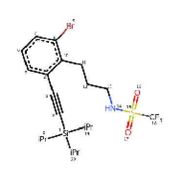 CC(C)[Si](C#Cc1cccc(Br)c1CCCNS(=O)(=O)C(F)(F)F)(C(C)C)C(C)C